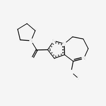 COC1=NCCCn2nc(C(=O)N3CCCC3)cc21